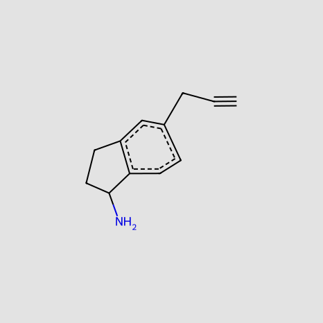 C#CCc1ccc2c(c1)CCC2N